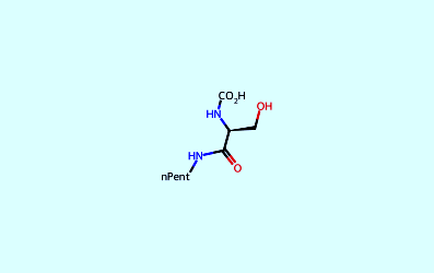 CCCCCNC(=O)[C@H](CO)NC(=O)O